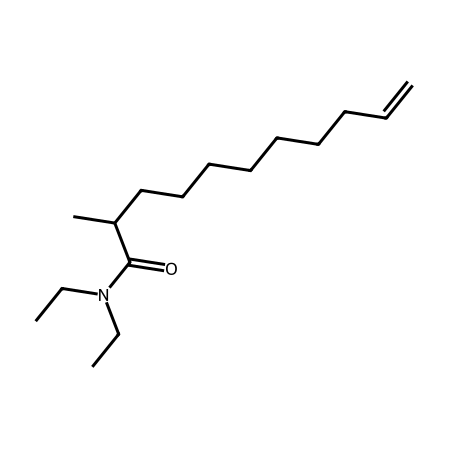 C=CCCCCCCCC(C)C(=O)N(CC)CC